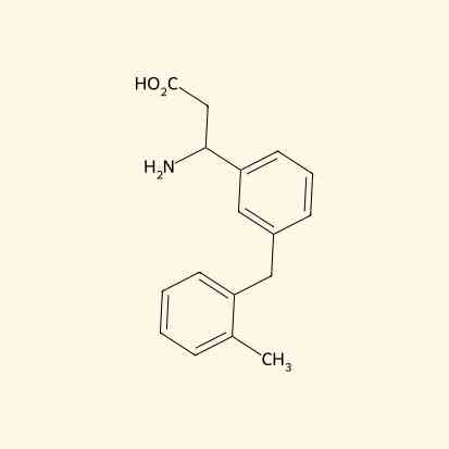 Cc1ccccc1Cc1cccc(C(N)CC(=O)O)c1